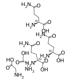 NC(=O)CC[C@H](N)C(=O)O.NC(=O)CC[C@H](N)C(=O)O.NC(=O)CC[C@H](N)C(=O)O.NCC(=O)O.NCC(=O)O